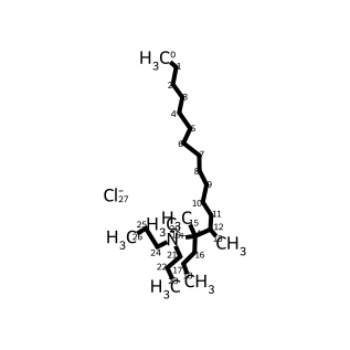 CCCCCCCCCCCCC(C)C(C)(CCC)[N+](C)(CCC)CCC.[Cl-]